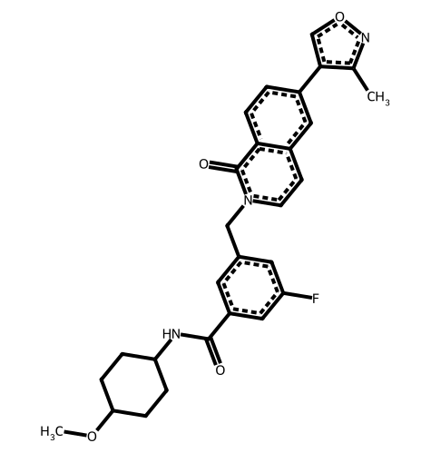 COC1CCC(NC(=O)c2cc(F)cc(Cn3ccc4cc(-c5conc5C)ccc4c3=O)c2)CC1